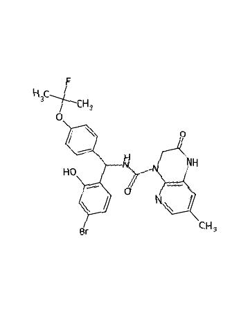 Cc1cnc2c(c1)NC(=O)CN2C(=O)NC(c1ccc(OC(C)(C)F)cc1)c1ccc(Br)cc1O